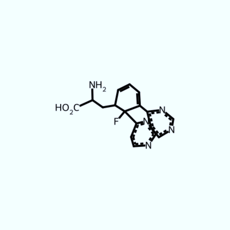 NC(CC1C=CC=C(c2ccncn2)C1(F)c1ccncn1)C(=O)O